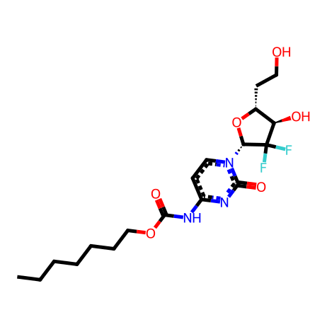 CCCCCCCOC(=O)Nc1ccn([C@@H]2O[C@H](CCO)[C@@H](O)C2(F)F)c(=O)n1